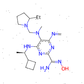 C=Nc1nc(/C(N)=N/O)nc(N[C@H](C)C2CCC2)c1N(C)CN1CCCC1CC